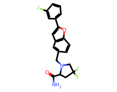 NC(=O)C1CC(F)(F)CN1Cc1ccc2oc(-c3cccc(F)c3)cc2c1